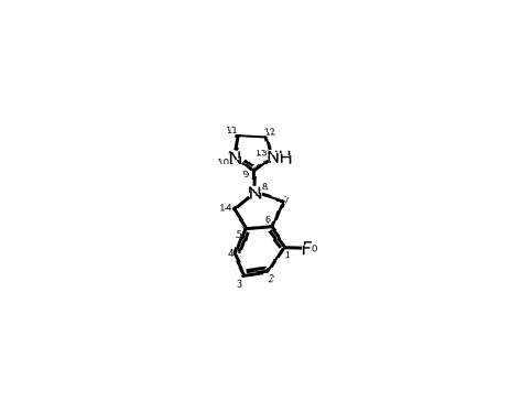 Fc1cccc2c1CN(C1=NCCN1)C2